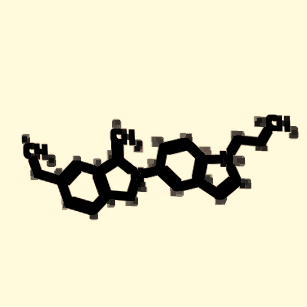 C=C1c2cc(CC)ccc2CN1c1ccc2c(ccn2CCC)c1